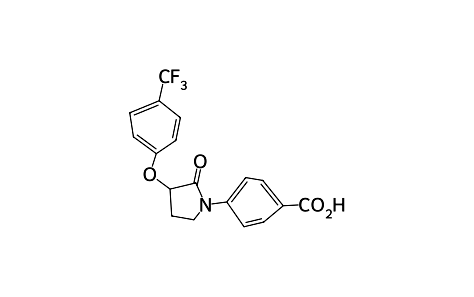 O=C(O)c1ccc(N2CCC(Oc3ccc(C(F)(F)F)cc3)C2=O)cc1